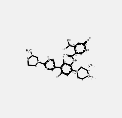 C[C@H]1CN(c2ncc(-c3c(F)cc(N4CCN(C)[C@@H](C)C4)c(NC(=O)c4c[nH]c(=O)cc4C(F)F)c3F)cn2)CCO1